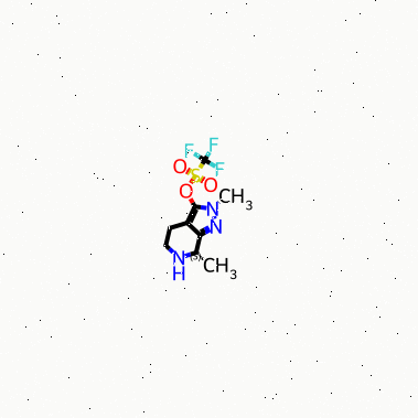 C[C@@H]1NCCc2c1nn(C)c2OS(=O)(=O)C(F)(F)F